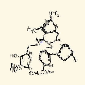 COc1cccc(-c2cc(F)ccc2[C@H]2Cc3nc(N)nc(C)c3/C(=N/OC[C@H]3O[C@H](OC)[C@H](O)[C@@H]3O)N2)n1